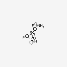 NC(=O)c1ccc(-c2nc(C(=O)[CH]C3CCCCN3)c(-c3ccc(F)cc3)s2)cc1F